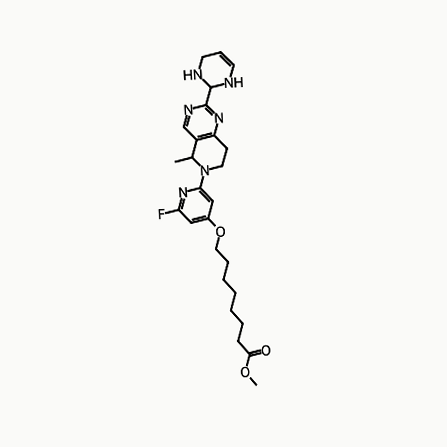 COC(=O)CCCCCCCOc1cc(F)nc(N2CCc3nc(C4NC=CCN4)ncc3C2C)c1